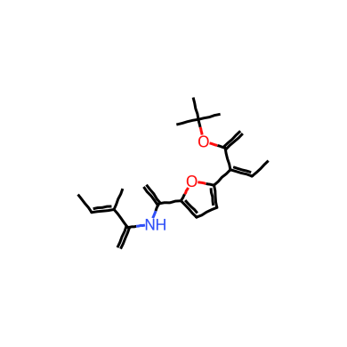 C=C(NC(=C)c1ccc(/C(=C/C)C(=C)OC(C)(C)C)o1)/C(C)=C/C